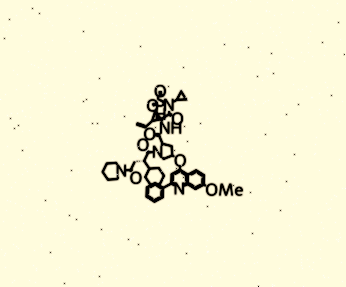 C=CC1CC1(NC(=O)C1C[C@@H](Oc2cc(-c3ccccc3)nc3cc(OC)ccc23)CN1C(=O)[C@@H](CC(=O)N1CCCCC1)C1CCCCC1)C(=O)N(C1CC1)[SH](=O)=O